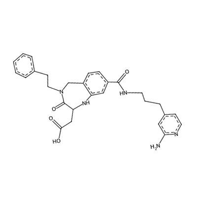 Nc1cc(CCCNC(=O)c2ccc3c(c2)NC(CC(=O)O)C(=O)N(CCc2ccccc2)C3)ccn1